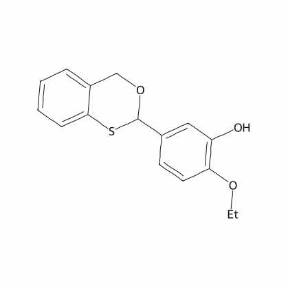 CCOc1ccc(C2OCc3ccccc3S2)cc1O